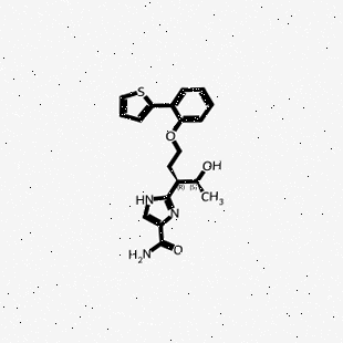 C[C@H](O)[C@H](CCOc1ccccc1-c1cccs1)c1nc(C(N)=O)c[nH]1